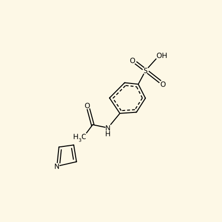 C1=CN=C1.CC(=O)Nc1ccc(S(=O)(=O)O)cc1